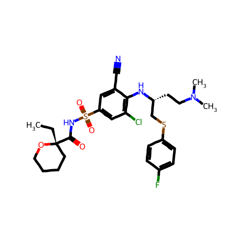 CC[C@@]1(C(=O)NS(=O)(=O)c2cc(Cl)c(N[C@H](CCN(C)C)CSc3ccc(F)cc3)c(C#N)c2)CCCCO1